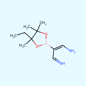 CCC1(C)OB(/C(C=N)=C/N)OC1(C)C